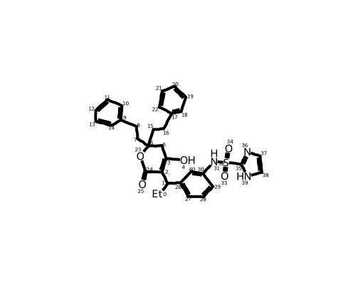 CCC(C1=C(O)CC(CCc2ccccc2)(CCc2ccccc2)OC1=O)c1cccc(NS(=O)(=O)c2ncc[nH]2)c1